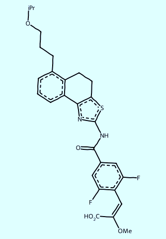 CO/C(=C/c1c(F)cc(C(=O)Nc2nc3c(s2)CCc2c(CCCOC(C)C)cccc2-3)cc1F)C(=O)O